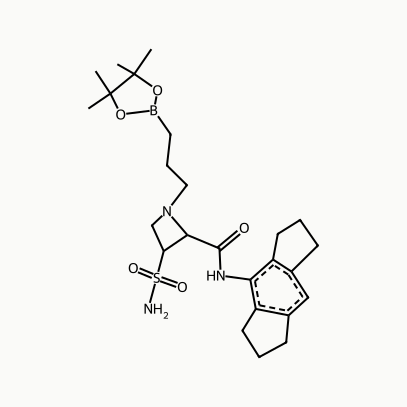 CC1(C)OB(CCCN2CC(S(N)(=O)=O)C2C(=O)Nc2c3c(cc4c2CCC4)CCC3)OC1(C)C